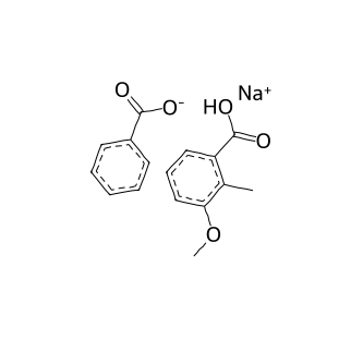 COc1cccc(C(=O)O)c1C.O=C([O-])c1ccccc1.[Na+]